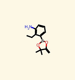 C=C1OB(c2cccc(N)c2CC)OC1(C)C